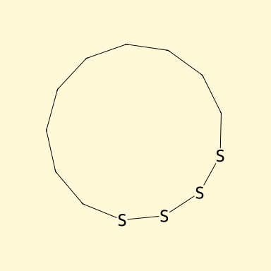 C1CCCCSSSSCCCC1